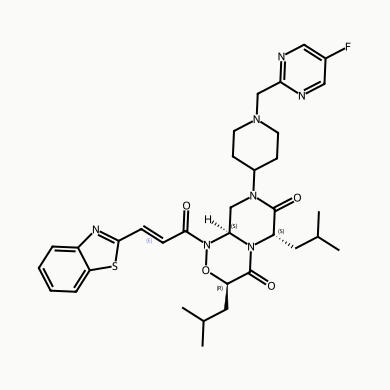 CC(C)C[C@H]1ON(C(=O)/C=C/c2nc3ccccc3s2)[C@H]2CN(C3CCN(Cc4ncc(F)cn4)CC3)C(=O)[C@H](CC(C)C)N2C1=O